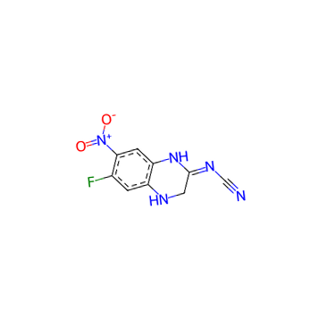 N#CN=C1CNc2cc(F)c([N+](=O)[O-])cc2N1